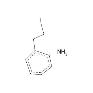 ICCc1ccccc1.N